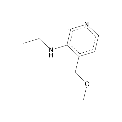 CCNc1[c]nccc1COC